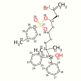 C=C(Br)C[C@@H](CCCCC(C)(C)[Si](O)(c1ccccc1)c1ccccc1)OS(=O)(=O)c1ccc(C)cc1